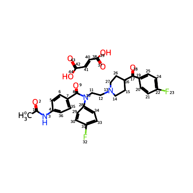 CC(=O)Nc1ccc(C(=O)N(CCN2CCC(C(=O)c3ccc(F)cc3)CC2)c2ccc(F)cc2)cc1.O=C(O)C=CC(=O)O